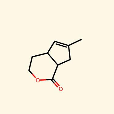 CC1=CC2CCOC(=O)C2C1